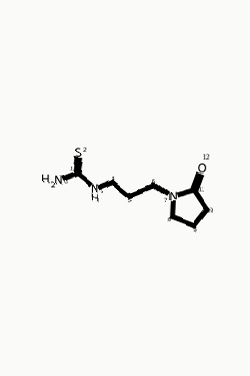 NC(=S)NCCCN1CCCC1=O